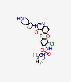 CCN(C)S(=O)(=O)Nc1ccc(F)c(Oc2ccc3ncn(C4CCC5(CCNCC5)C4)c(=O)c3c2)c1Cl